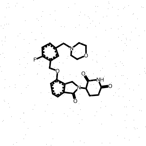 O=C1CCC(N2Cc3c(OCc4cc(CN5CCOCC5)ccc4F)cccc3C2=O)C(=O)N1